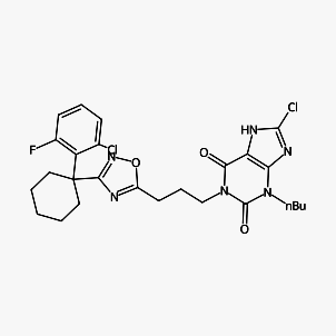 CCCCn1c(=O)n(CCCc2nc(C3(c4c(F)cccc4Cl)CCCCC3)no2)c(=O)c2[nH]c(Cl)nc21